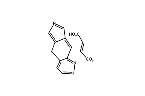 C1=NC=C2Cc3cccnc3C=C12.O=C(O)C=CC(=O)O